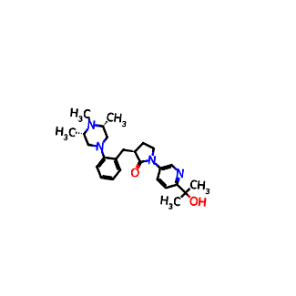 C[C@@H]1CN(c2ccccc2C[C@H]2CCN(c3ccc(C(C)(C)O)nc3)C2=O)C[C@H](C)N1C